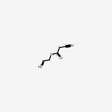 [CH]=CCOC(=O)CC#N